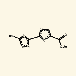 COC(=O)c1nnc(-c2noc(C(C)(C)C)n2)o1